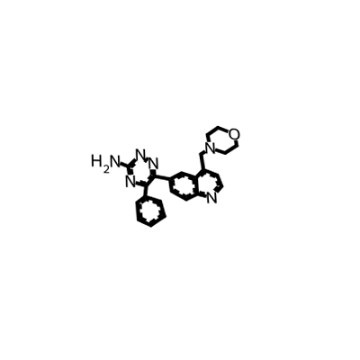 Nc1nnc(-c2ccc3nccc(CN4CCOCC4)c3c2)c(-c2ccccc2)n1